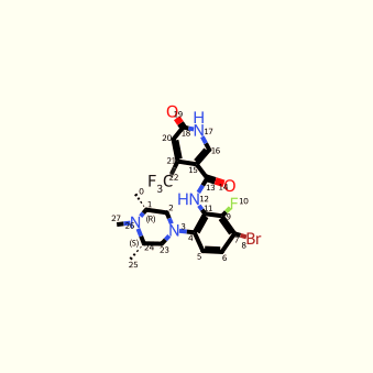 C[C@@H]1CN(c2ccc(Br)c(F)c2NC(=O)c2c[nH]c(=O)cc2C(F)(F)F)C[C@H](C)N1C